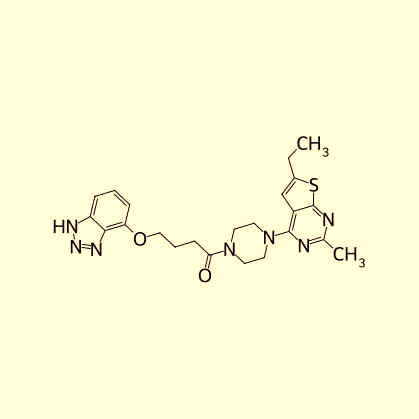 CCc1cc2c(N3CCN(C(=O)CCCOc4cccc5[nH]nnc45)CC3)nc(C)nc2s1